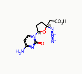 [N-]=[N+]=N[C@@]1(CC(=O)O)CC[C@H](n2ccc(N)nc2=O)O1